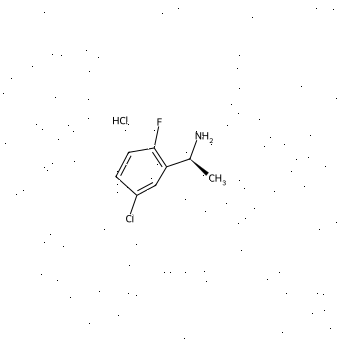 C[C@H](N)c1cc(Cl)ccc1F.Cl